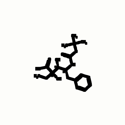 CC[C@](O)(C(=O)O)[C@@H](O)[C@H](Cc1ccccc1)NC(=O)OC(C)(C)C